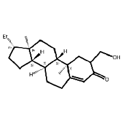 CC[C@H]1CC[C@H]2[C@@H]3CCC4=CC(=O)C(CO)C[C@]4(C)[C@H]3CC[C@]12C